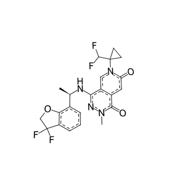 C[C@@H](Nc1nn(C)c(=O)c2cc(=O)n(C3(C(F)F)CC3)cc12)c1cccc2c1OCC2(F)F